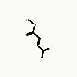 CC(Cl)/C=C/C(=O)OC(C)C